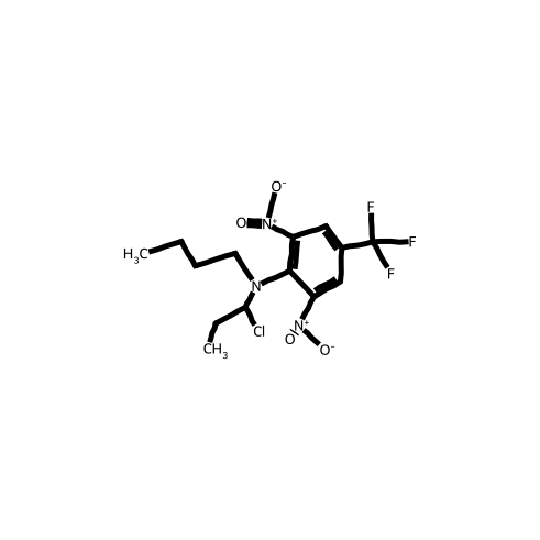 CCCCN(c1c([N+](=O)[O-])cc(C(F)(F)F)cc1[N+](=O)[O-])C(Cl)CC